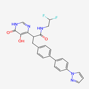 O=C(NCC(F)F)C(Cc1ccc(-c2ccc(-n3cccn3)cc2)cc1)c1nc[nH]c(=O)c1O